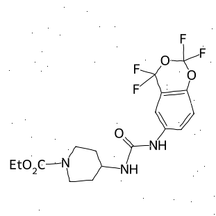 CCOC(=O)N1CCC(NC(=O)Nc2ccc3c(c2)C(F)(F)OC(F)(F)O3)CC1